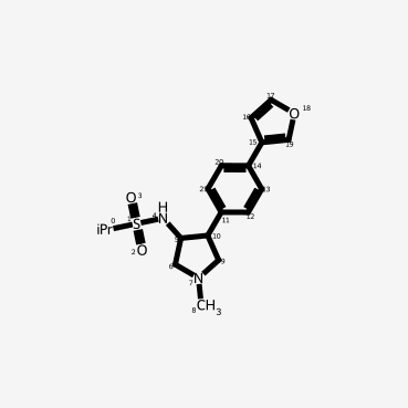 CC(C)S(=O)(=O)NC1CN(C)CC1c1ccc(-c2ccoc2)cc1